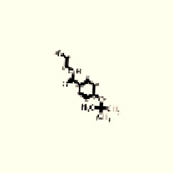 CC(C)(C)Oc1ccc(C(=O)NCCF)cc1